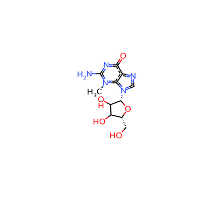 Cn1c(N)nc(=O)c2ncn([C@@H]3O[C@H](CO)C(O)C3O)c21